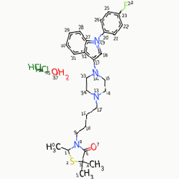 CC1SC(C)(C)C(=O)N1CCCCN1CCN(c2cn(-c3ccc(F)cc3)c3ccccc23)CC1.Cl.Cl.O